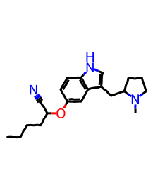 CCCCC(C#N)Oc1ccc2[nH]cc(CC3CCCN3C)c2c1